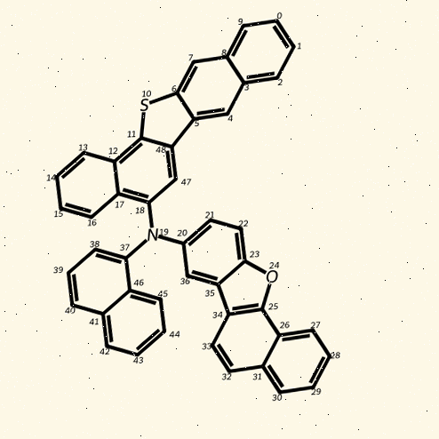 c1ccc2cc3c(cc2c1)sc1c2ccccc2c(N(c2ccc4oc5c6ccccc6ccc5c4c2)c2cccc4ccccc24)cc31